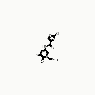 O=C(Nc1cc(F)c(=O)n(CC(F)(F)F)c1)c1cnc(Cl)s1